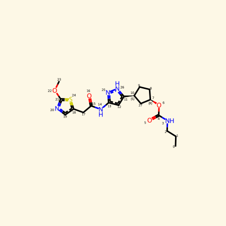 CCCNC(=O)O[C@@H]1CC[C@H](c2cc(NC(=O)Cc3cnc(OC)s3)n[nH]2)C1